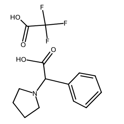 O=C(O)C(F)(F)F.O=C(O)C(c1ccccc1)N1CCCC1